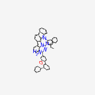 C/C=C(/N=C(\N=C(/N)c1ccc2c(c1)oc1c(-c3ccccc3)cccc12)n1c2ccccc2c2ccc3c4ccccc4n(-c4ccccc4)c3c21)c1ccccc1